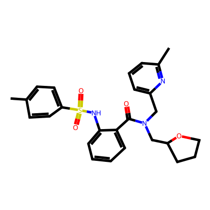 Cc1ccc(S(=O)(=O)Nc2ccccc2C(=O)N(Cc2cccc(C)n2)CC2CCCO2)cc1